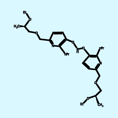 CCCc1nc(COC[C@@H](C)OCC)ccc1OBOc1ccc(COC[C@@H](C)OCC)nc1CCC